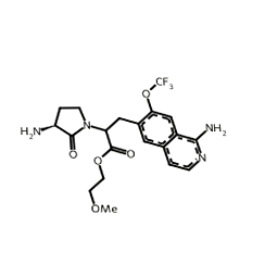 COCCOC(=O)C(Cc1cc2ccnc(N)c2cc1OC(F)(F)F)N1CC[C@H](N)C1=O